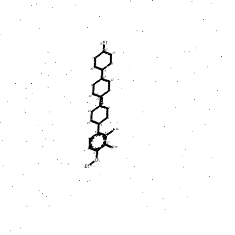 CCOc1ccc(C2CCC(=C3CCC(C4CCC(CC)CC4)CC3)CC2)c(F)c1F